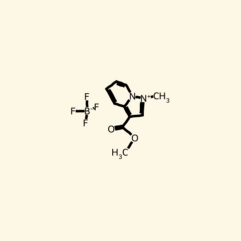 COC(=O)c1c[n+](C)n2ccccc12.F[B-](F)(F)F